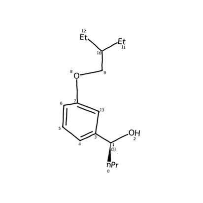 CCC[C@H](O)c1cccc(OCC(CC)CC)c1